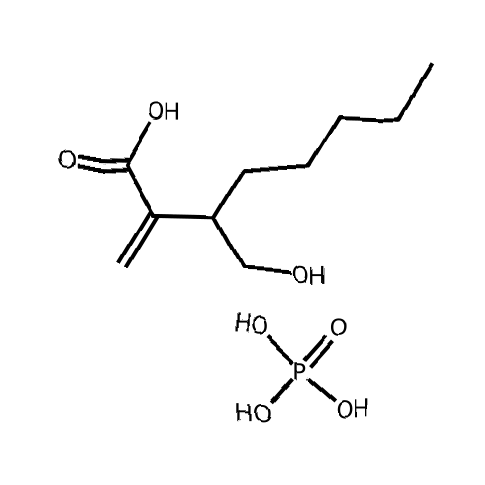 C=C(C(=O)O)C(CO)CCCCC.O=P(O)(O)O